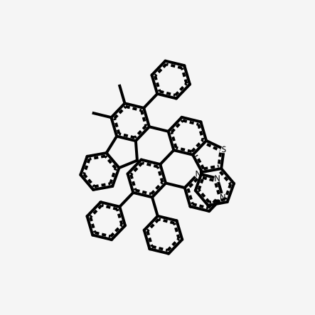 Cc1c(C)c(-c2ccccc2)c(-c2ccc3sc4ccccc4c3c2-c2ccc(-c3ccccc3)c(-c3ccccc3)c2-c2ccnnn2)c2c1-c1ccccc1C2